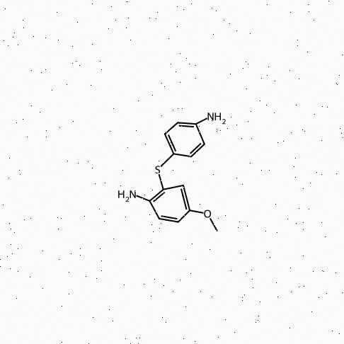 COc1ccc(N)c(Sc2ccc(N)cc2)c1